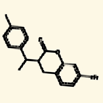 CCCc1ccc2c(c1)OC(=O)C(C(C)c1ccc(C)cc1)C2